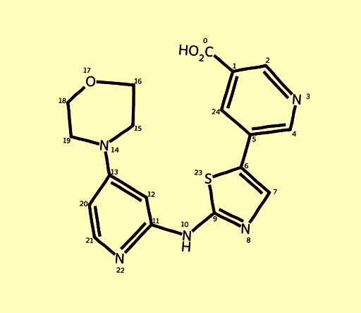 O=C(O)c1cncc(-c2cnc(Nc3cc(N4CCOCC4)ccn3)s2)c1